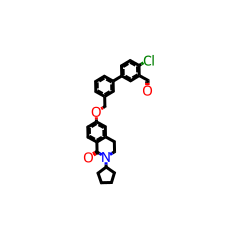 O=Cc1cc(-c2cccc(COc3ccc4c(c3)CCN(C3CCCC3)C4=O)c2)ccc1Cl